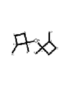 CC1CCC1(C)OC1(C)CCC1C